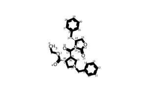 CCOC(=O)[C@H]1CN(Cc2ccccc2)C[C@@H]1C(=O)N1C(=O)OC[C@H]1Cc1ccccc1